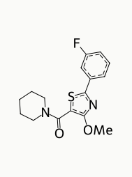 COc1nc(-c2cccc(F)c2)sc1C(=O)N1CCCCC1